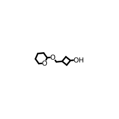 OC1CC(COC2CCCCO2)C1